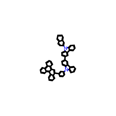 c1cc(-c2cc3c4ccccc4c4ccccc4c3c3ccccc23)cc(-n2c3ccccc3c3cc(-c4ccc5c(c4)c4ccccc4n5-c4ccc5ccccc5c4)ccc32)c1